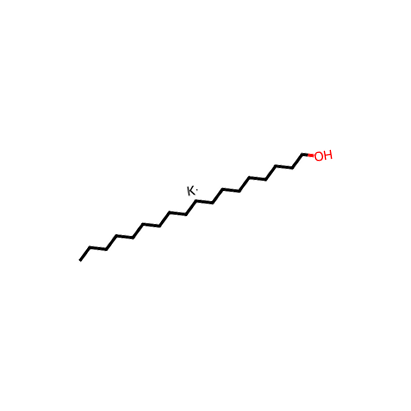 CCCCCCCCCCCCCCCCCCO.[K]